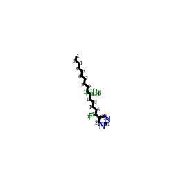 Br.CCCCCCCCCCCCCCCC(F)c1cncnc1